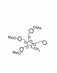 C/C=C1/C(OCc2ccc(OC)cc2)C(OCc2ccc(OC)cc2)C(COCc2ccc(OC)cc2)O[C@@H]1OCCCc1ccccc1